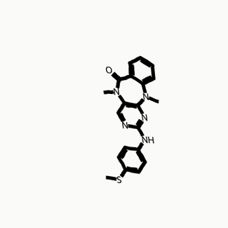 CSc1ccc(Nc2ncc3c(n2)N(C)c2ccccc2C(=O)N3C)cc1